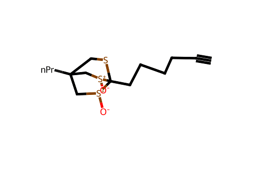 C#CCCCCC12SCC(CCC)(C[S+]1[O-])C[S+]2[O-]